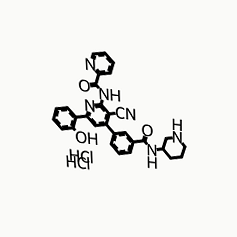 Cl.Cl.N#Cc1c(-c2cccc(C(=O)NC3CCCNC3)c2)cc(-c2ccccc2O)nc1NC(=O)c1ccccn1